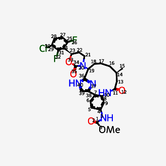 COC(=O)Nc1ccc2c(c1)NC(=O)C[C@H](C)CCC[C@H](N1CC[C@H](c3c(F)ccc(Cl)c3F)OC1=O)c1nc-2c[nH]1